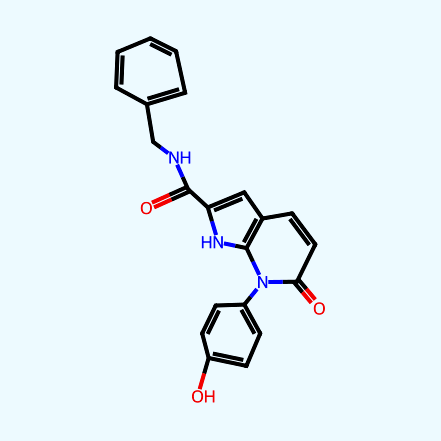 O=C(NCc1ccccc1)c1cc2ccc(=O)n(-c3ccc(O)cc3)c2[nH]1